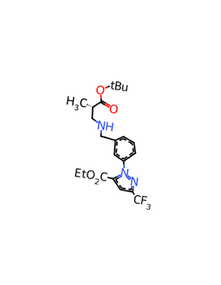 CCOC(=O)c1cc(C(F)(F)F)nn1-c1cccc(CNC[C@H](C)C(=O)OC(C)(C)C)c1